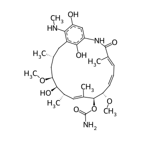 CNc1c(O)cc2c(O)c1C[C@@H](C)C[C@H](OC)[C@H](O)[C@@H](C)/C=C(\C)[C@H](OC(N)=O)[C@@H](OC)/C=C\C=C(/C)C(=O)N2